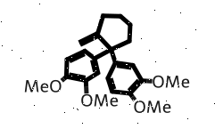 C=C1CCCCC1(c1ccc(OC)c(OC)c1)c1ccc(OC)c(OC)c1